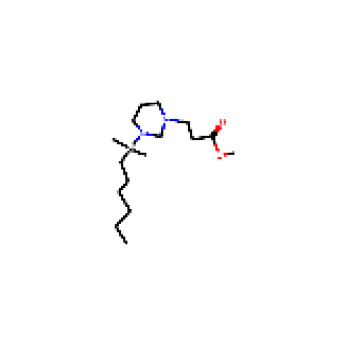 CCCCCC[Si](C)(C)N1CCCN(CCC(=O)OC)C1